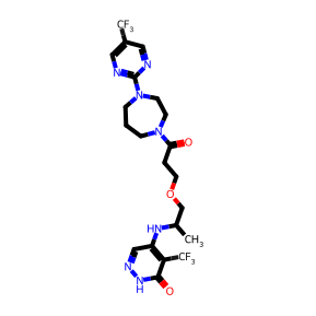 CC(COCCC(=O)N1CCCN(c2ncc(C(F)(F)F)cn2)CC1)Nc1cn[nH]c(=O)c1C(F)(F)F